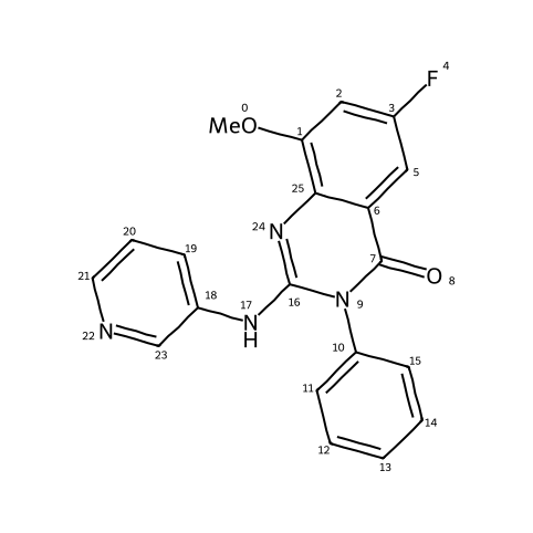 COc1cc(F)cc2c(=O)n(-c3ccccc3)c(Nc3cccnc3)nc12